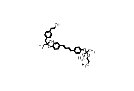 CCCOC(C)(OC)Oc1ccc(C=CC=Cc2ccc(OC(C)(C)Cc3ccc(C=CO)cc3)cc2)cc1